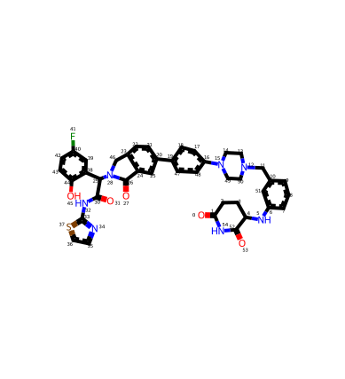 O=C1CCC(Nc2cccc(CN3CCN(c4ccc(-c5ccc6c(c5)C(=O)N(C(C(=O)Nc5nccs5)c5cc(F)ccc5O)C6)cc4)CC3)c2)C(=O)N1